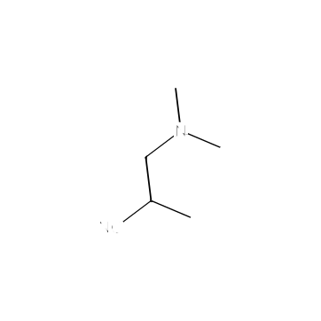 CC(C#N)CN(C)C